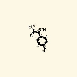 CCC(=O)C(C#N)c1ccc(F)cc1